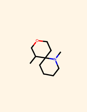 CC1COCCC12CCCCN2C